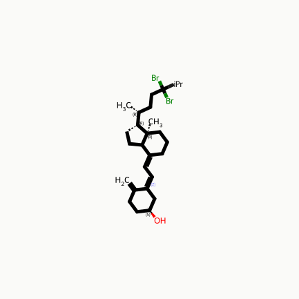 C=C1CC[C@H](O)C/C1=C/C=C1CCC[C@@]2(C)C1CC[C@@H]2[C@H](C)CCC(Br)(Br)C(C)C